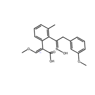 CO/C=C(/C(=O)O)c1cccc(C)c1C(Cc1cccc(OC)c1)=NO